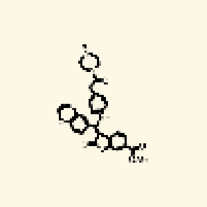 COC(=O)c1ccc2c(c1)NC(=O)C2=C(Nc1ccc(CC(=O)N2CCN(C)CC2)cc1)c1ccc2c(c1)OC=CO2